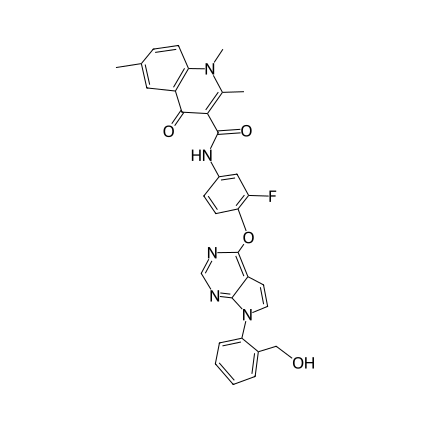 Cc1ccc2c(c1)c(=O)c(C(=O)Nc1ccc(Oc3ncnc4c3ccn4-c3ccccc3CO)c(F)c1)c(C)n2C